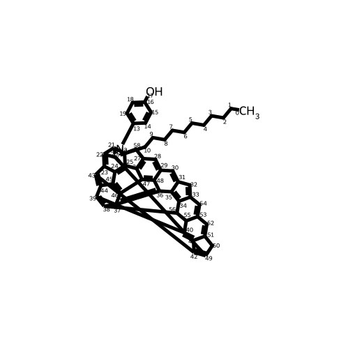 CCCCCCCCCCCC1N(c2ccc(O)cc2)CC2C3=c4c5c6c7c(cc8cc9cc%10c%11c9c9c%12c%13c%14c%15c%16c(c4c%14c5c%12c7c89)=C(CC%16=CC(=C%10)C%15C%11%13)C3)CC621